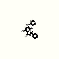 CC1(c2ccccc2)NC(=O)c2c(Cl)cc(Nc3ccncn3)c(=O)n21